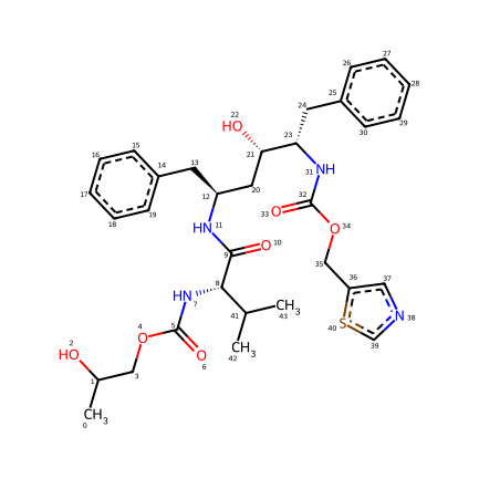 CC(O)COC(=O)N[C@H](C(=O)N[C@@H](Cc1ccccc1)C[C@H](O)[C@H](Cc1ccccc1)NC(=O)OCc1cncs1)C(C)C